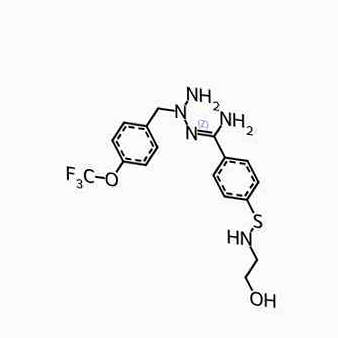 N/C(=N\N(N)Cc1ccc(OC(F)(F)F)cc1)c1ccc(SNCCO)cc1